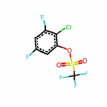 O=S(=O)(Oc1cc(F)cc(F)c1Cl)C(F)(F)F